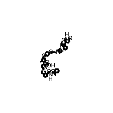 Cc1cc(OC2CCC(OCCCN3CCN(c4cccc5c(C6CCC(=O)NC6=O)nn(C)c45)CC3)CC2)ccc1-c1ccc(N2CCc3cccc(C(=O)Nc4nc5ccccc5s4)c3C2)nc1C(=O)O